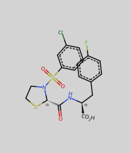 O=C(O)[C@H](Cc1ccc(F)cc1)NC(=O)[C@@H]1SCCN1S(=O)(=O)c1cccc(Cl)c1